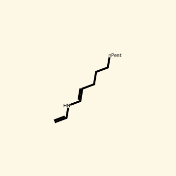 C=CNC=CCCCCCCCC